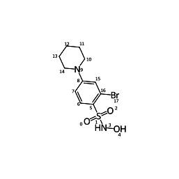 O=S(=O)(NO)c1ccc(N2CCCCC2)cc1Br